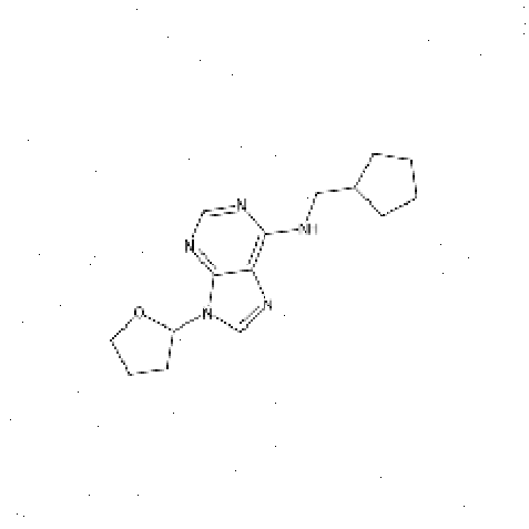 c1nc(NCC2CCCC2)c2ncn(C3CCCO3)c2n1